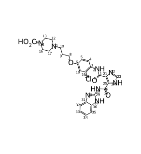 O=C(Nc1ccc(OCCCN2CCN(C(=O)O)CC2)cc1Cl)c1nc[nH]c1C(=O)Nc1nc2ccccc2[nH]1